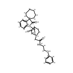 O=C(C[N+]12CCC(CC1)[C@@H](OC(=O)C1(c3ccccc3)CCCCCC1)C2)NCCOc1ccccc1